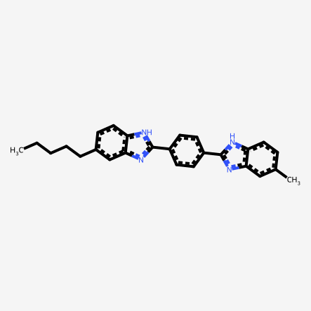 CCCCCc1ccc2[nH]c(-c3ccc(-c4nc5cc(C)ccc5[nH]4)cc3)nc2c1